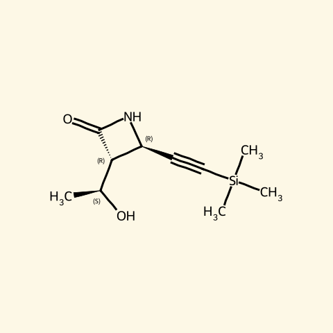 C[C@H](O)[C@@H]1C(=O)N[C@H]1C#C[Si](C)(C)C